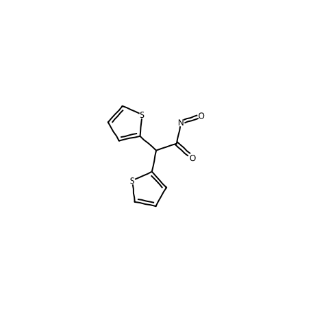 O=NC(=O)C(c1cccs1)c1cccs1